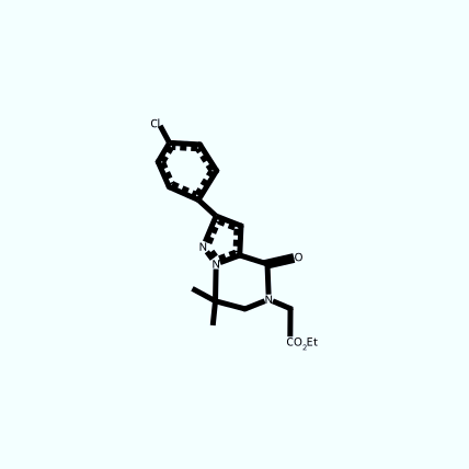 CCOC(=O)CN1CC(C)(C)n2nc(-c3ccc(Cl)cc3)cc2C1=O